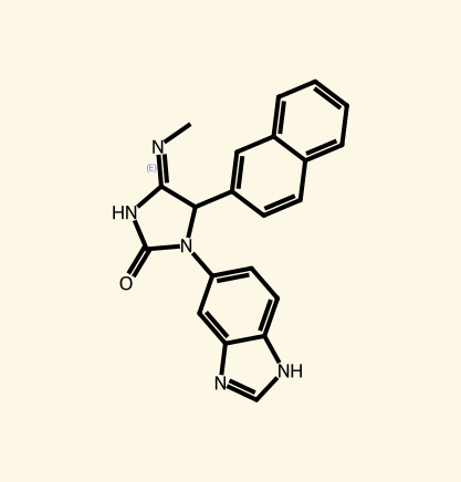 C/N=C1/NC(=O)N(c2ccc3[nH]cnc3c2)C1c1ccc2ccccc2c1